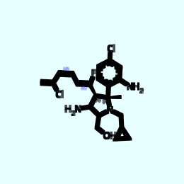 C=C(Cl)/C=C\C=C(/F)[C@@H]1C(N)C(CO)N(CC2CC2)[C@@]1(C)c1ccc(Cl)cc1N